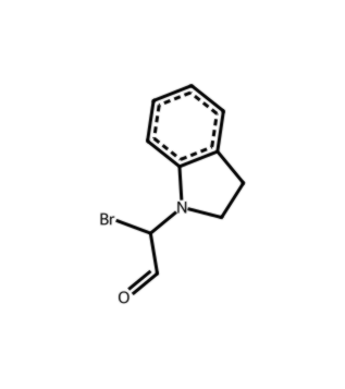 O=CC(Br)N1CCc2ccccc21